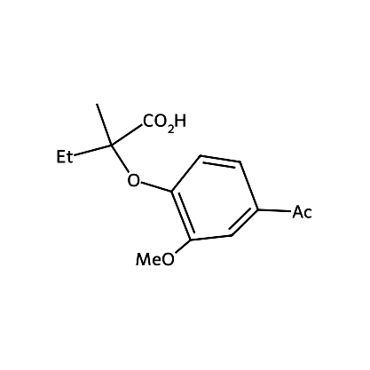 CCC(C)(Oc1ccc(C(C)=O)cc1OC)C(=O)O